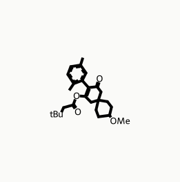 COC1CCC2(CC1)CC(=O)C(c1cc(C)ccc1C)=C(OC(=O)CC(C)(C)C)C2